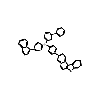 C1=CC(c2ccccc2)CC(N(c2ccc(-c3ccc4c(ccc5oc6ccccc6c54)c3)cc2)c2ccc(-c3cccc4ccccc34)cc2)=C1